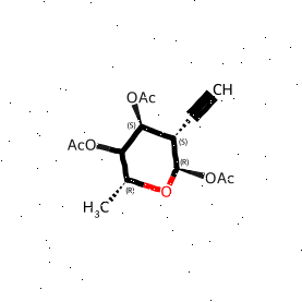 C#C[C@@H]1[C@@H](OC(C)=O)O[C@H](C)C(OC(C)=O)[C@H]1OC(C)=O